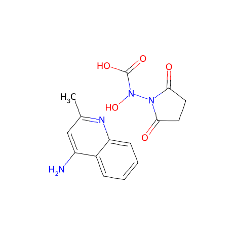 Cc1cc(N)c2ccccc2n1.O=C(O)N(O)N1C(=O)CCC1=O